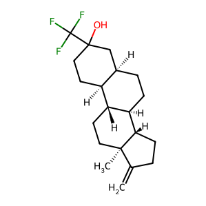 C=C1CC[C@H]2[C@@H]3CC[C@@H]4CC(O)(C(F)(F)F)CC[C@@H]4[C@H]3CC[C@]12C